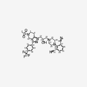 CS(=O)(=O)N1CCc2c(c(-c3ccc(C(F)(F)F)cc3)nn2CC(O)CN2CCN(c3c(C#N)cccc3C#N)CC2)C1